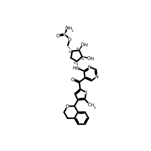 Cc1sc(C(=O)c2cncnc2N[C@@H]2C[C@H](COS(N)=O)[C@@H](O)[C@H]2O)cc1C1OCCc2ccccc21